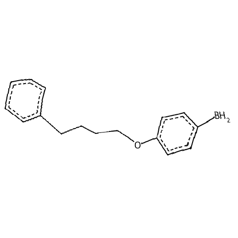 Bc1ccc(OCCCCc2ccccc2)cc1